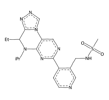 CCC1c2nncn2-c2cnc(-c3ccncc3CNS(C)(=O)=O)nc2N1C(C)C